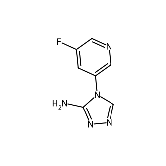 Nc1nncn1-c1cncc(F)c1